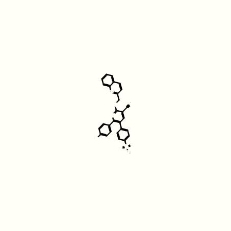 N#Cc1cc(-c2ccc(S(N)(=O)=O)cc2)c(-c2ccc(F)cc2)nc1SCc1ccc2ccccc2n1